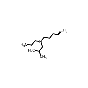 C=CCCCN(CCC)CC(C)C